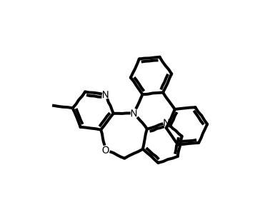 Cc1cnc2c(c1)OCc1cccnc1N2c1ccccc1-c1ccccc1